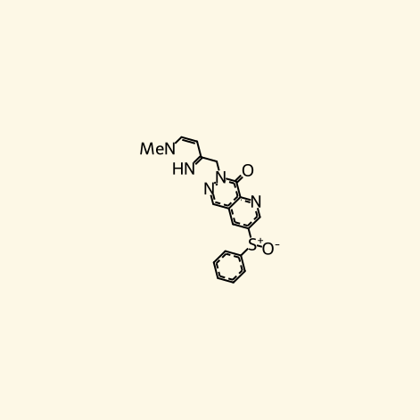 CN/C=C\C(=N)Cn1ncc2cc([S+]([O-])c3ccccc3)cnc2c1=O